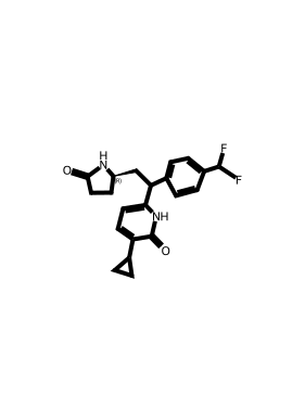 O=C1CC[C@H](CC(c2ccc(C(F)F)cc2)c2ccc(C3CC3)c(=O)[nH]2)N1